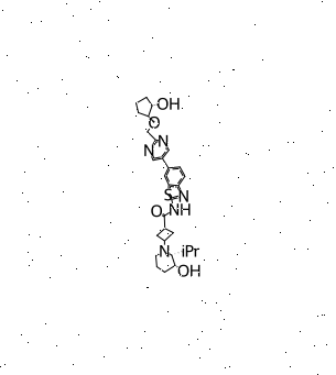 CC(C)[C@@H]1[C@H](O)CCCN1C1CC(C(=O)Nc2nc3ccc(-c4cnc(CO[C@H]5CCC[C@@H]5O)nc4)cc3s2)C1